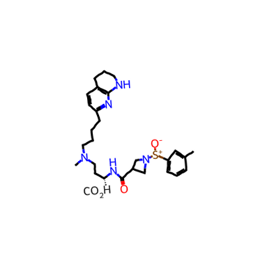 Cc1cccc([S+]([O-])N2CC(C(=O)N[C@@H](CCN(C)CCCCc3ccc4c(n3)NCCC4)C(=O)O)C2)c1